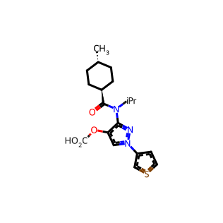 CC(C)N(c1nn(-c2ccsc2)cc1OC(=O)O)C(=O)[C@H]1CC[C@H](C)CC1